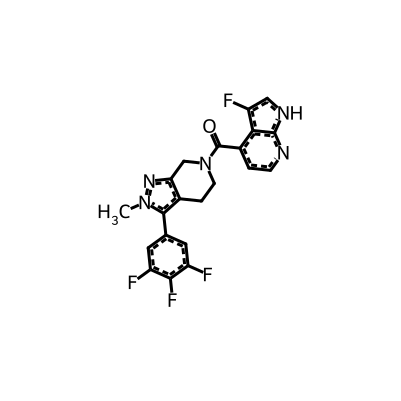 Cn1nc2c(c1-c1cc(F)c(F)c(F)c1)CCN(C(=O)c1ccnc3[nH]cc(F)c13)C2